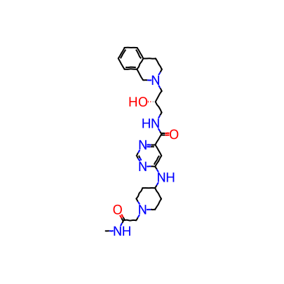 CNC(=O)CN1CCC(Nc2cc(C(=O)NC[C@H](O)CN3CCc4ccccc4C3)ncn2)CC1